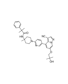 CC(C)(O)COc1cc(-c2ccc(N3CCC(C)(NC(=O)C(C)(C)c4ccccc4)CC3)nc2)c2c(C#N)cnn2c1